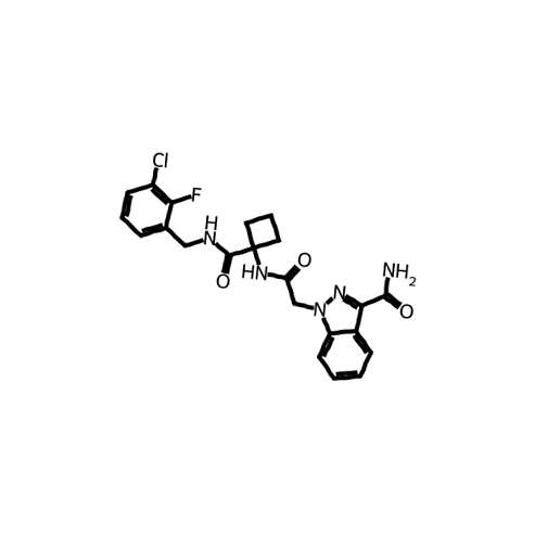 NC(=O)c1nn(CC(=O)NC2(C(=O)NCc3cccc(Cl)c3F)CCC2)c2ccccc12